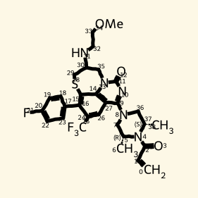 C=CC(=O)N1[C@H](C)CN(c2nc(=O)n3c4c(c(-c5ccc(F)cc5)c(C(F)(F)F)cc24)SCC(NCCOC)C3)C[C@@H]1C